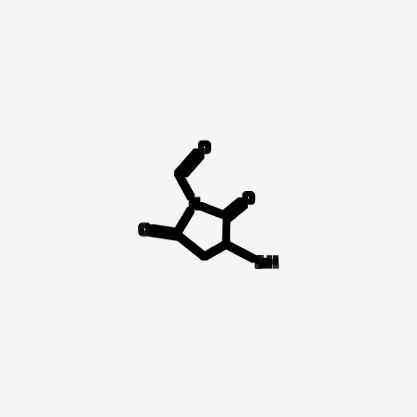 O=CN1C(=O)C[CH]([SrH])C1=O